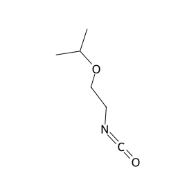 CC(C)OCCN=C=O